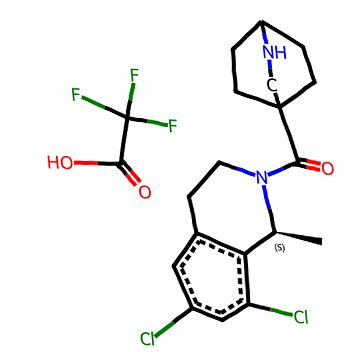 C[C@H]1c2c(Cl)cc(Cl)cc2CCN1C(=O)C12CCC(CC1)NC2.O=C(O)C(F)(F)F